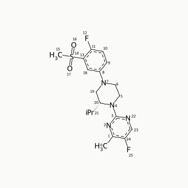 Cc1nc(N2CCN(c3ccc(F)c(S(C)(=O)=O)c3)C[C@H]2C(C)C)ncc1F